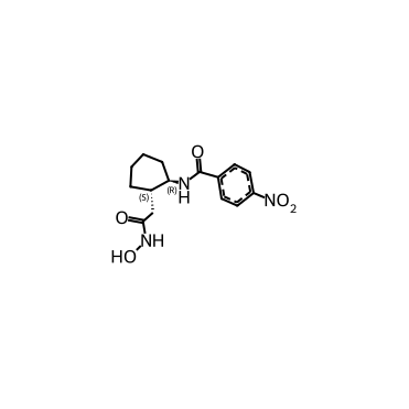 O=C(C[C@@H]1CCCC[C@H]1NC(=O)c1ccc([N+](=O)[O-])cc1)NO